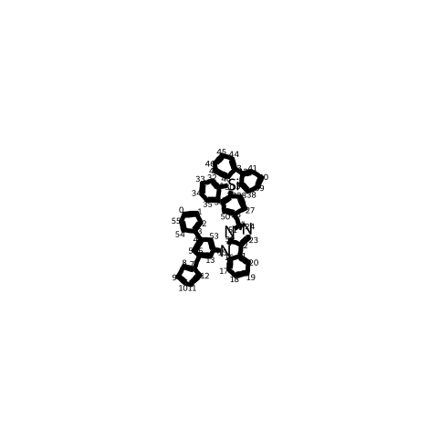 c1ccc(-c2cc(-c3ccccc3)cc(-n3c4ccccc4c4cnc(-c5ccc([Si]6(c7ccccc7)c7ccccc7-c7ccccc76)cc5)nc43)c2)cc1